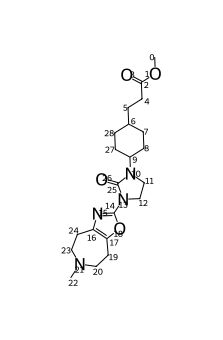 COC(=O)CCC1CCC(N2CCN(c3nc4c(o3)CCN(C)CC4)C2=O)CC1